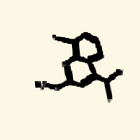 COc1cc(C(F)Br)c2cccc(F)c2n1